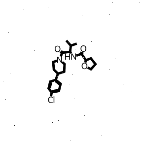 CC(C)C(NC(=O)C1CCCO1)C(=O)N1CCC(c2ccc(Cl)cc2)CC1